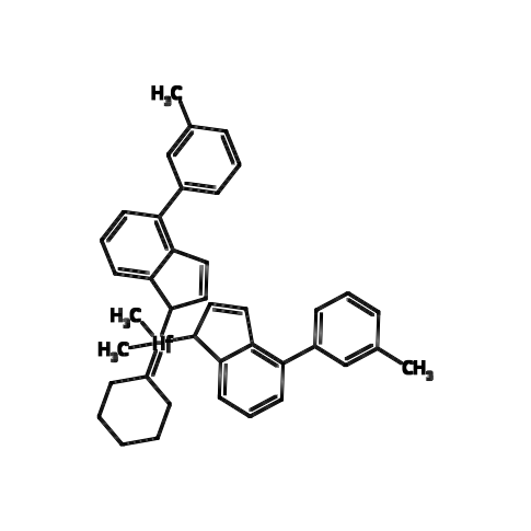 Cc1cccc(-c2cccc3c2C=C[CH]3[Hf]([CH3])([CH3])(=[C]2CCCCC2)[CH]2C=Cc3c(-c4cccc(C)c4)cccc32)c1